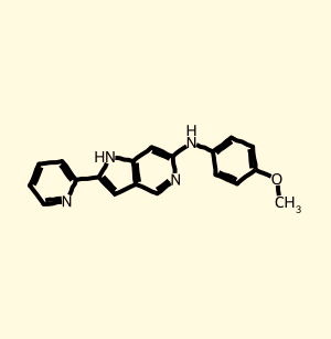 COc1ccc(Nc2cc3[nH]c(-c4ccccn4)cc3cn2)cc1